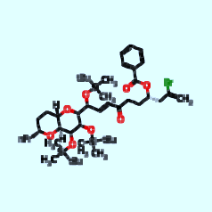 C=C(Br)C[C@H](CCC(=O)/C=C/[C@H](O[Si](C)(C)C(C)(C)C)[C@@H]1O[C@H]2CC[C@H](CCC)O[C@@H]2[C@H](O[Si](C)(C)C(C)(C)C)[C@@H]1O[Si](C)(C)C(C)(C)C)OC(=O)c1ccccc1